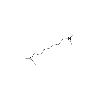 CN(C)CC[CH]CCCCN(C)C